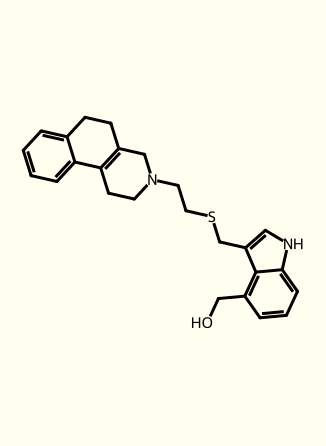 OCc1cccc2[nH]cc(CSCCN3CCC4=C(CCc5ccccc54)C3)c12